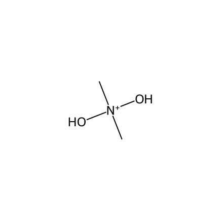 C[N+](C)(O)O